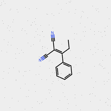 CCC(=C(C#N)C#N)c1ccccc1